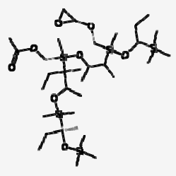 CCC(O[Si](C)(COC1CO1)C(C)C(C)O[Si](C)(COC(C)=O)C(C)(CC)C(C)O[Si](C)(C)[C@](C)(CC)O[Si](C)(C)C)[Si](C)(C)C